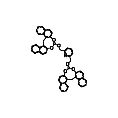 c1cc(COP2Oc3ccc4ccccc4c3Cc3c(ccc4ccccc34)O2)nc(COP2Oc3ccc4ccccc4c3Cc3c(ccc4ccccc34)O2)c1